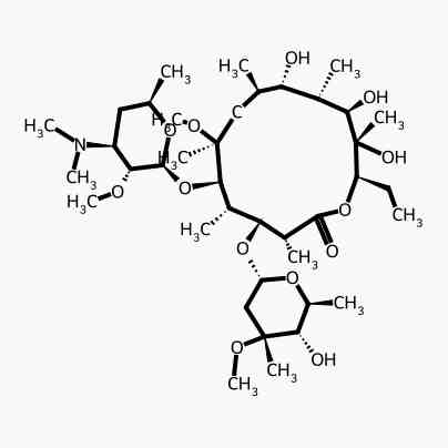 CC[C@H]1OC(=O)[C@H](C)[C@@H](O[C@H]2C[C@@](C)(OC)[C@@H](O)[C@H](C)O2)[C@H](C)[C@@H](O[C@@H]2O[C@H](C)C[C@H](N(C)C)[C@H]2OC)[C@@](C)(OC)C[C@@H](C)[C@H](O)[C@H](C)[C@@H](O)[C@]1(C)O